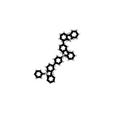 c1ccc(-n2c3ccccc3c3cc(-c4ccc(-n5c6ccccc6c6cc(-c7cccc8c7sc7ccccc78)ccc65)cc4)ccc32)cc1